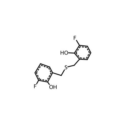 Oc1c(F)cccc1CSCc1cccc(F)c1O